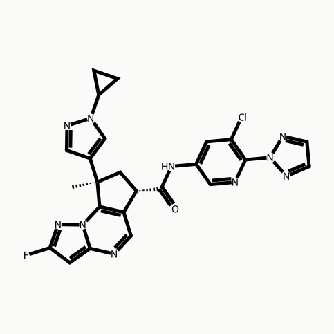 C[C@]1(c2cnn(C3CC3)c2)C[C@H](C(=O)Nc2cnc(-n3nccn3)c(Cl)c2)c2cnc3cc(F)nn3c21